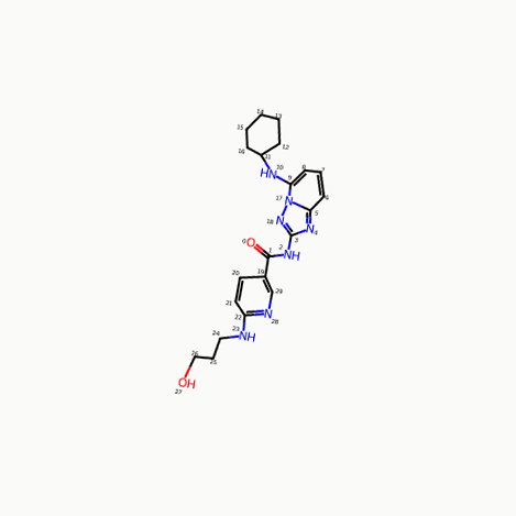 O=C(Nc1nc2cccc(NC3CCCCC3)n2n1)c1ccc(NCCCO)nc1